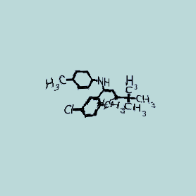 C=C(/C=C(/NC1CCC(C)CC1)c1cc(Cl)ccc1C)C(C)(C)C